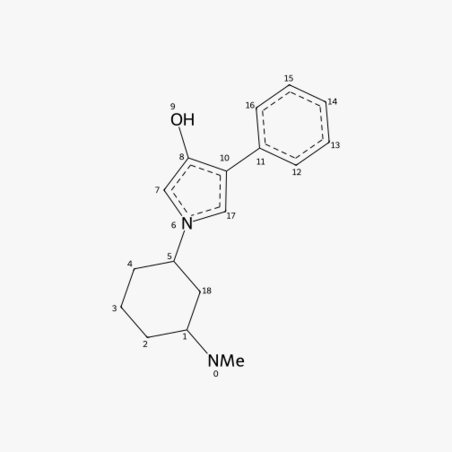 CNC1CCCC(n2cc(O)c(-c3ccccc3)c2)C1